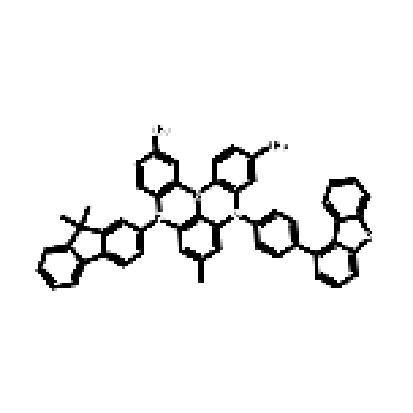 Cc1cc2c3c(c1)N(c1ccc(-c4cccc5sc6ccccc6c45)cc1)c1cc(C(C)(C)C)ccc1B3c1cc(C(C)(C)C)ccc1N2c1ccc2c(c1)C(C)(C)c1ccccc1-2